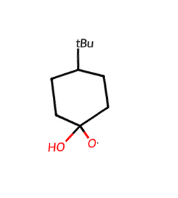 CC(C)(C)C1CCC([O])(O)CC1